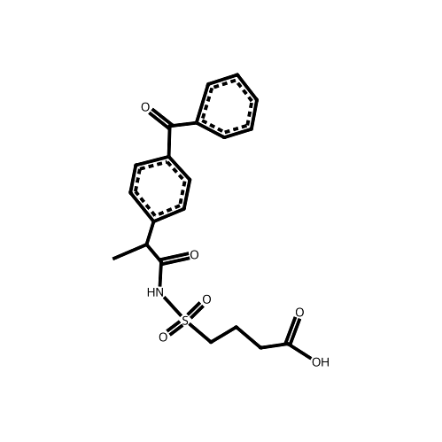 CC(C(=O)NS(=O)(=O)CCCC(=O)O)c1ccc(C(=O)c2ccccc2)cc1